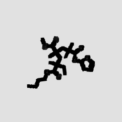 CCCCOC(=O)C(C)(CC)CC(C)(CC(C)(C)C(=O)Oc1ccco1)C(=O)OC